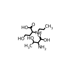 CC(O)C(N)C(=O)O.CCCNC(CCO)C(=O)O